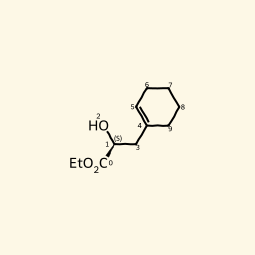 CCOC(=O)[C@@H](O)CC1=CCCCC1